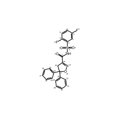 O=C(NS(=O)(=O)c1cc(F)ccc1F)C1=NOC(c2ccccc2)(c2ccccc2)C1